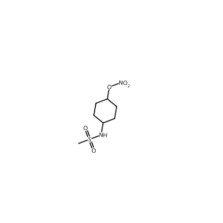 CS(=O)(=O)NC1CCC(O[N+](=O)[O-])CC1